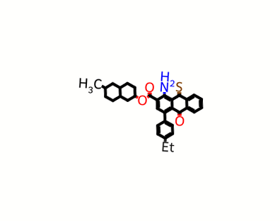 CCc1ccc(-c2cc(C(=O)OC3CCC4CC(C)CCC4C3)c(N)c3c2C(=O)c2ccccc2C3=S)cc1